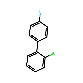 Fc1ccc(-c2cc[c]cc2Cl)cc1